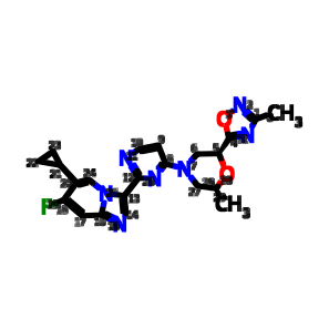 Cc1noc([C@@H]2CN(c3ccnc(-c4cnc5cc(F)c(C6CC6)cn45)n3)C[C@H](C)O2)n1